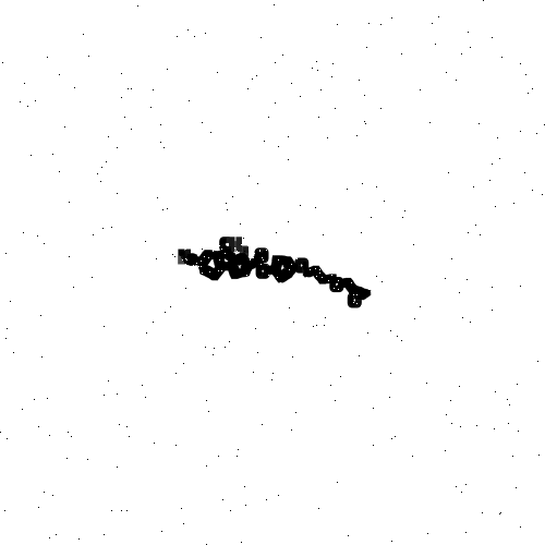 CC1c2cc(C#N)ccc2-c2ccc(C(=O)Oc3ccc(OCCCCOCC4CO4)cc3)cc21